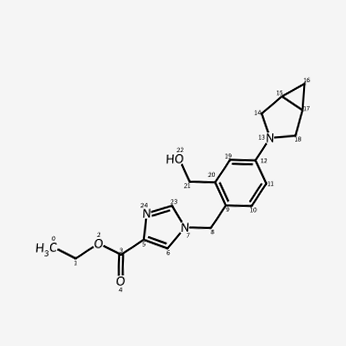 CCOC(=O)c1cn(Cc2ccc(N3CC4CC4C3)cc2CO)cn1